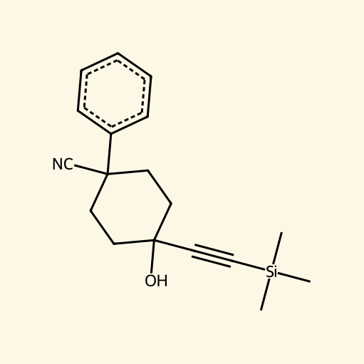 C[Si](C)(C)C#CC1(O)CCC(C#N)(c2ccccc2)CC1